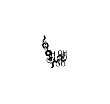 CCCN1CCN(c2ccc(C(=O)N[C@H](C(=O)N3C[C@@H](O)[C@H]4OCC(=O)[C@H]43)[C@@H](C)CC)cc2)CC1